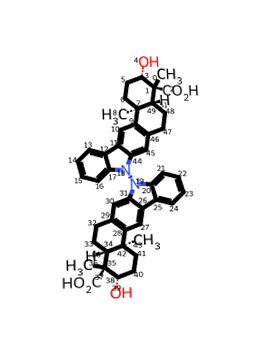 C[C@@]1(C(=O)O)[C@@H](O)CC[C@]2(C)c3cc4c5ccccc5n(-n5c6ccccc6c6cc7c(cc65)CC[C@H]5[C@](C)(C(=O)O)[C@@H](O)CC[C@]75C)c4cc3CC[C@@H]12